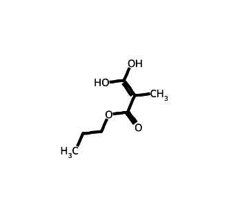 CCCOC(=O)C(C)=C(O)O